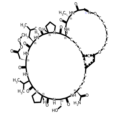 COOC(=O)C[C@@H]1NC(=O)[C@@H](CC(C)C)NC(=O)[C@@H]2CCCN2C(=O)[C@@H]2CSCc3cc(cc(c3)OCCCCCCO/N=C/C(=O)N[C@@H](C)C(=O)N2)CSC[C@@H](C(N)=O)NC(=O)[C@H](CO)NC(=O)[C@@H]2CCCN2C(=O)C(C(C)C)NC1=O